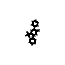 CC(C)(C)c1cc(-c2ccccc2)c(F)cc1-c1ccccc1